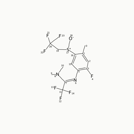 Cc1cc(F)c(N=C(N(C)C)C(F)(F)F)cc1[S+]([O-])CC(F)(F)F